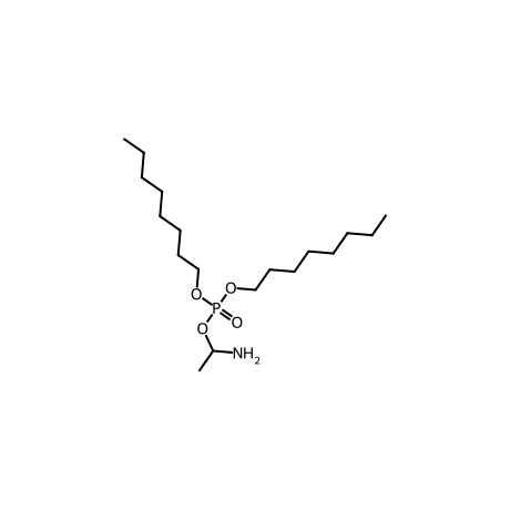 CCCCCCCCOP(=O)(OCCCCCCCC)OC(C)N